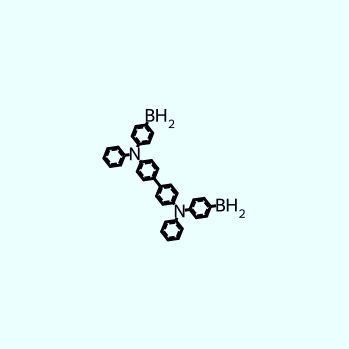 Bc1ccc(N(c2ccccc2)c2ccc(-c3ccc(N(c4ccccc4)c4ccc(B)cc4)cc3)cc2)cc1